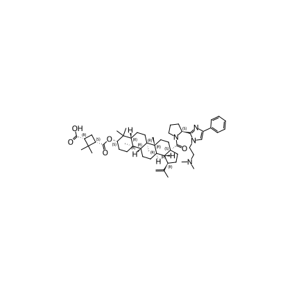 C=C(C)[C@@H]1CC[C@]2(C(=O)N3CCC[C@H]3c3nc(-c4ccccc4)cn3CCN(C)C)CC[C@]3(C)[C@H](CC[C@@H]4[C@@]5(C)CC[C@H](OC(=O)[C@H]6C[C@@H](C(=O)O)C6(C)C)C(C)(C)[C@@H]5CC[C@]43C)[C@@H]12